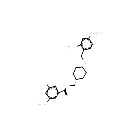 COc1ccc(CN[C@H]2CC[C@H](CNC(=O)c3cc(C)cc(C)c3)CC2)c(OC)c1